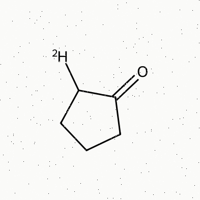 [2H]C1CCCC1=O